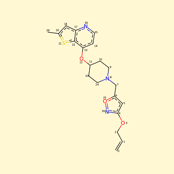 C=CCOc1cc(CN2CCC(Oc3ccnc4cc(C)sc34)CC2)on1